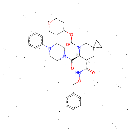 O=C(NOCc1ccccc1)[C@H]1CC2(CC2)CN(C(=O)OC2CCOCC2)[C@@H]1C(=O)N1CCN(c2ccccc2)CC1